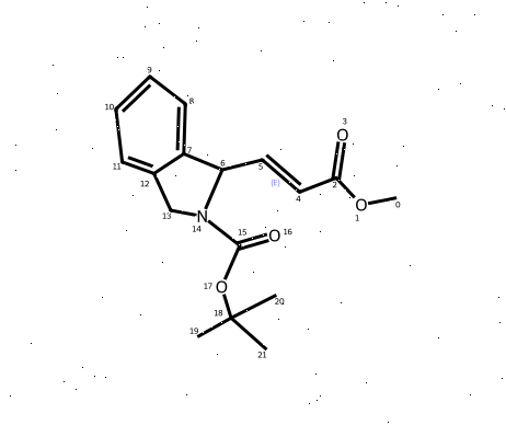 COC(=O)/C=C/C1c2ccccc2CN1C(=O)OC(C)(C)C